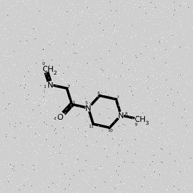 C=NCC(=O)N1CCN(C)CC1